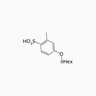 CCCCCCOc1ccc(S(=O)(=O)O)c(C)c1